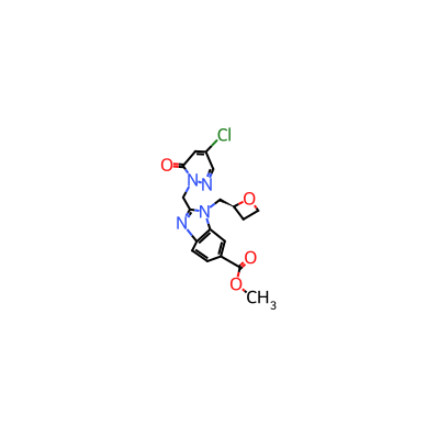 COC(=O)c1ccc2nc(Cn3ncc(Cl)cc3=O)n(C[C@@H]3CCO3)c2c1